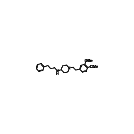 COc1ccc(CCN2CCC(NCCCc3ccccc3)CC2)cc1OC